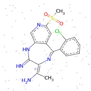 C/C(N)=C1\N=C(c2ccccc2Cl)c2cc(S(C)(=O)=O)ncc2NC1=N